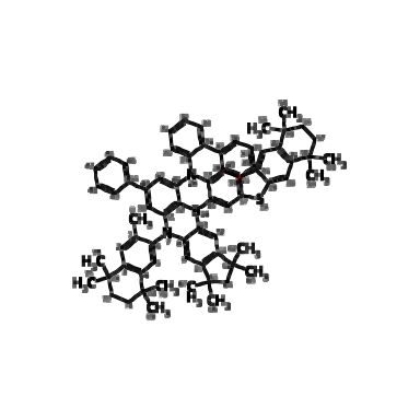 Cc1cc2c(cc1N1c3cc4c(cc3B3c5cc6sc7cc8c(cc7c6cc5N(c5ccccc5-c5ccccc5)c5cc(-c6ccccc6)cc1c53)C(C)(C)CCC8(C)C)C(C)(C)CC4(C)C)C(C)(C)CCC2(C)C